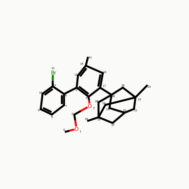 COCOc1c(-c2ccccc2Br)cc(C)cc1C12CC3CC(C)(CC(C)(C3)C1)C2